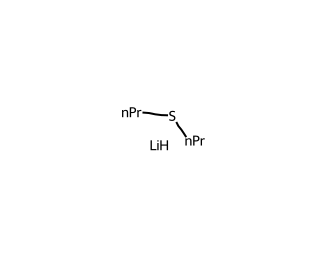 CCCSCCC.[LiH]